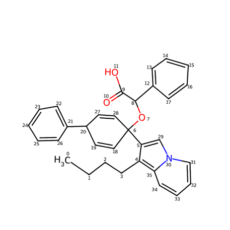 CCCCc1c(C2(OC(C(=O)O)c3ccccc3)C=CC(c3ccccc3)C=C2)cn2ccccc12